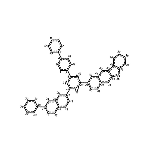 c1ccc(-c2ccc(-c3nc(-c4ccc5ccc(-c6ccccc6)cc5c4)nc(-c4ccc5cc6sc7ccccc7c6cc5c4)n3)cc2)cc1